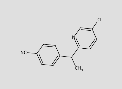 CC(c1ccc(C#N)cc1)c1ccc(Cl)cn1